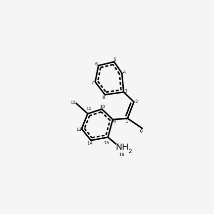 CC(=Cc1ccccc1)c1cc(C)ccc1N